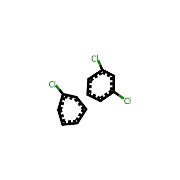 Clc1cccc(Cl)c1.Clc1ccccc1